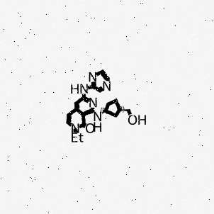 CCn1ccc2cc(Nc3cnccn3)nc(N[C@@H]3CC[C@@H](CO)C3)c2c1=O